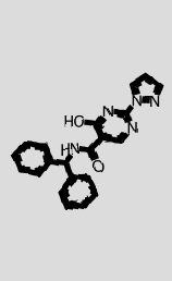 O=C(NC(c1ccccc1)c1ccccc1)c1cnc(-n2cccn2)nc1O